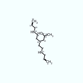 C=CCNCCN(CCNCC=C)CC(C)O